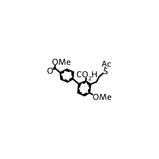 COC(=O)c1ccc(-c2ccc(OC)c(CCSC(C)=O)c2C(=O)O)cc1